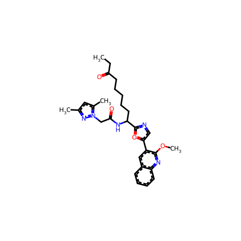 CCC(=O)CCCCCC(NC(=O)Cn1nc(C)cc1C)c1ncc(-c2cc3ccccc3nc2OC)o1